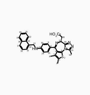 Cc1sc2c(c1C)C(c1ccc(NCc3cccc4ccccc34)cc1)=N[C@@H](CC(=O)O)c1nnc(C)n1-2